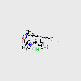 CCCCCCCCCCCCCCCC[N+]1(CC)CCOCC1.CC[N+](CC)(CC)C/C=C(/C)CCC=C(C)C.Cl